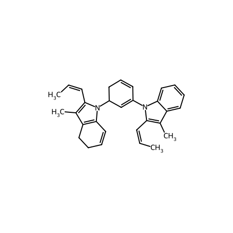 C/C=C\c1c(C)c2c(n1C1C=C(n3c(/C=C\C)c(C)c4ccccc43)C=CC1)C=CCC2